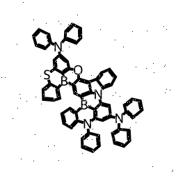 c1ccc(N(c2ccccc2)c2cc3c4c(c2)Sc2ccccc2B4c2cc4c5c(c2O3)c2ccccc2n5-c2cc(N(c3ccccc3)c3ccccc3)cc3c2B4c2ccccc2N3c2ccccc2)cc1